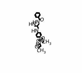 Cc1cc(N(C)S(=O)(=O)c2ccc(NCC(C=N)CNC(=O)c3ccccc3)cc2)no1